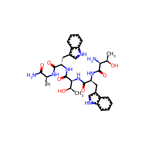 CC(C)[C@H](NC(=O)[C@H](Cc1c[nH]c2ccccc12)NC(=O)[C@@H](NC(=O)[C@H](Cc1c[nH]c2ccccc12)NC(=O)[C@@H](N)[C@@H](C)O)[C@@H](C)O)C(N)=O